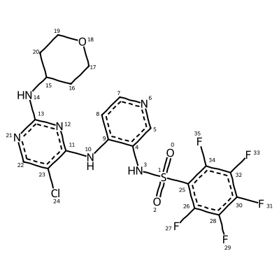 O=S(=O)(Nc1cnccc1Nc1nc(NC2CCOCC2)ncc1Cl)c1c(F)c(F)c(F)c(F)c1F